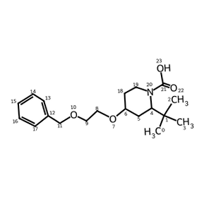 CC(C)(C)C1CC(OCCOCc2ccccc2)CCN1C(=O)O